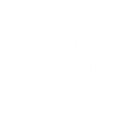 O=C1OC(F)(F)C(F)(F)OC1(C(F)(F)F)C(F)(F)F